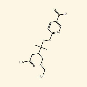 CC(C)(SSc1ccc([N+](=O)[O-])cn1)C(CCCN)CC(N)=O